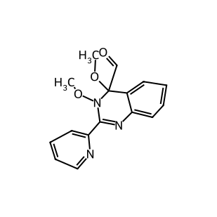 CON1C(c2ccccn2)=Nc2ccccc2C1(C=O)OC